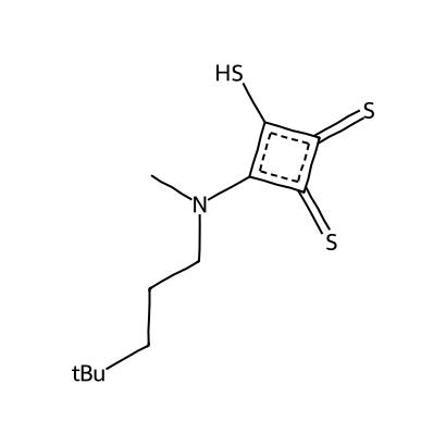 CN(CCCC(C)(C)C)c1c(S)c(=S)c1=S